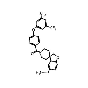 NCc1ccc2c(c1)C1(CCN(C(=O)c3ccc(Oc4cc(C(F)(F)F)cc(C(F)(F)F)c4)cc3)CC1)CO2